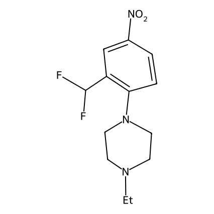 CCN1CCN(c2ccc([N+](=O)[O-])cc2C(F)F)CC1